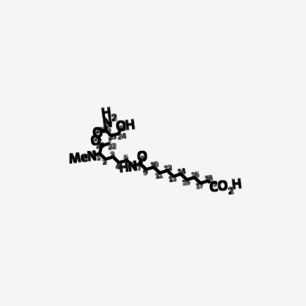 CNC(CCCCNC(=O)CCCCCCCCCCC(=O)O)C(=O)C[C@@H](CO)C(N)=O